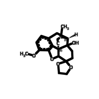 COc1ccc2c3c1OC1C4(CCC5(O)[C@H](C2)N(C)CC[C@@]315)OCCO4